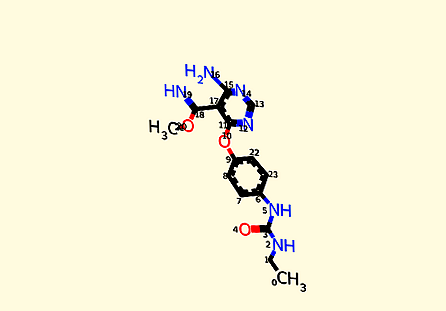 CCNC(=O)Nc1ccc(Oc2ncnc(N)c2C(=N)OC)cc1